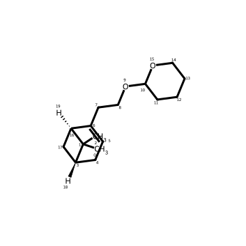 CC1(C)[C@@H]2CC=C(CCOC3CCCCO3)[C@@H]1C2